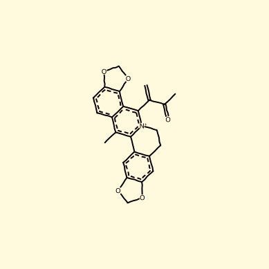 C=C(C(C)=O)c1c2c3c(ccc2c(C)c2[n+]1CCc1cc4c(cc1-2)OCO4)OCO3